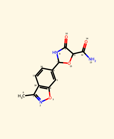 Cc1noc2cc(C3NC(=O)C(C(N)=O)O3)ccc12